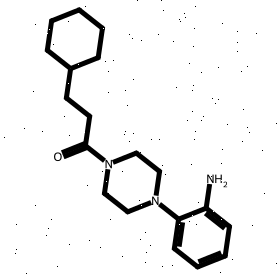 Nc1ccccc1N1CCN(C(=O)CCC2CCCCC2)CC1